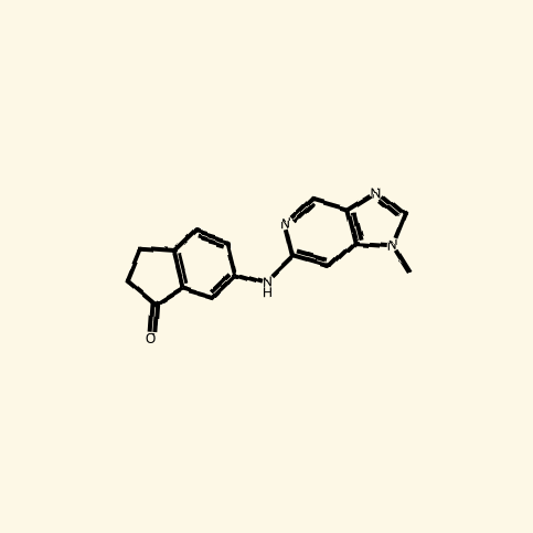 Cn1cnc2cnc(Nc3ccc4c(c3)C(=O)CC4)cc21